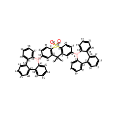 CC1(C)c2cc(B3c4ccccc4-c4ccccc4-c4ccccc43)ccc2S(=O)(=O)c2ccc(B3c4ccccc4-c4ccccc4-c4ccccc43)cc21